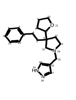 c1ccc(CCC2(C3CCCO3)CCN(Cc3cn[nH]c3)C2)cc1